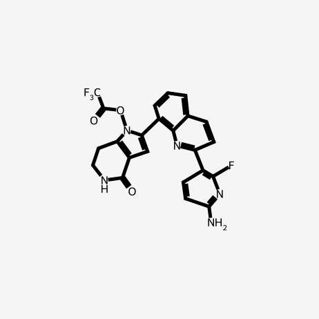 Nc1ccc(-c2ccc3cccc(-c4cc5c(n4OC(=O)C(F)(F)F)CCNC5=O)c3n2)c(F)n1